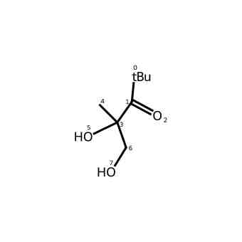 CC(C)(C)C(=O)C(C)(O)CO